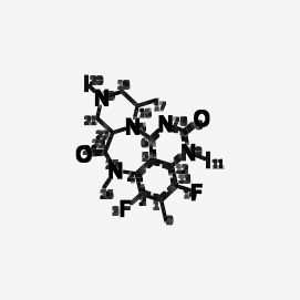 Cc1c(F)c2c3c(nc(=O)n(I)c3c1F)N1C(C)CN(I)CC1C(=O)N2C